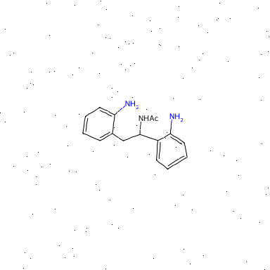 CC(=O)NC(Cc1ccccc1N)c1ccccc1N